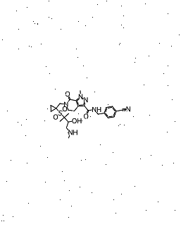 CNCC(O)C(C)(C)S(=O)(=O)C1(CN2CCc3c(C(=O)NCc4ccc(C#N)cc4)nn(C)c3C2=O)CC1